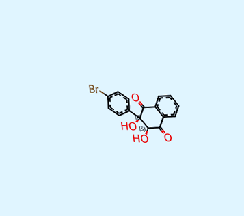 O=C1c2ccccc2C(=O)[C@@](O)(c2ccc(Br)cc2)[C@@H]1O